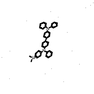 C[SiH](C)c1ccc(N(c2ccccc2)c2ccc(-c3ccc(N(c4ccccc4)c4ccccc4)cc3)cc2)cc1